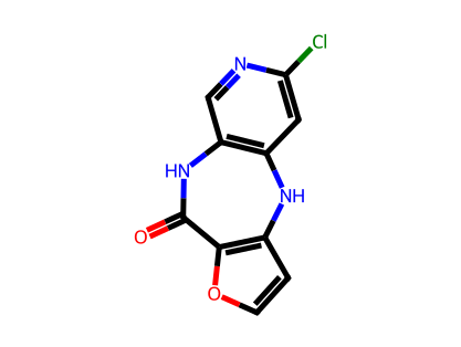 O=C1Nc2cnc(Cl)cc2Nc2ccoc21